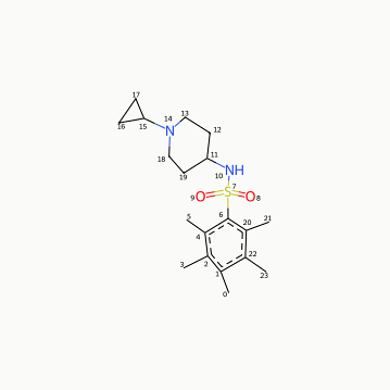 Cc1c(C)c(C)c(S(=O)(=O)NC2CCN(C3CC3)CC2)c(C)c1C